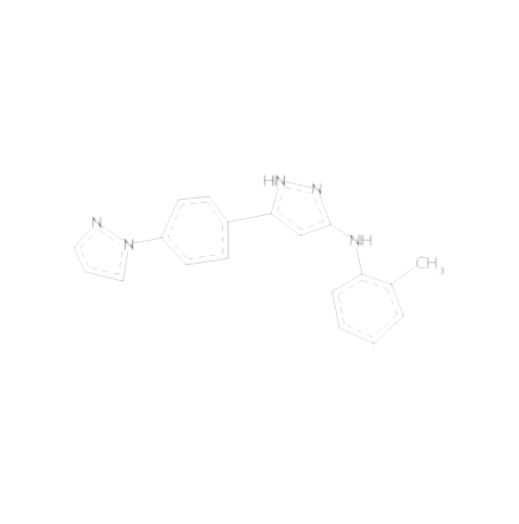 Cc1c[c]ccc1Nc1cc(-c2ccc(-n3cccn3)cc2)[nH]n1